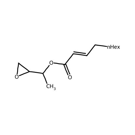 CCCCCCCC=CC(=O)OC(C)C1CO1